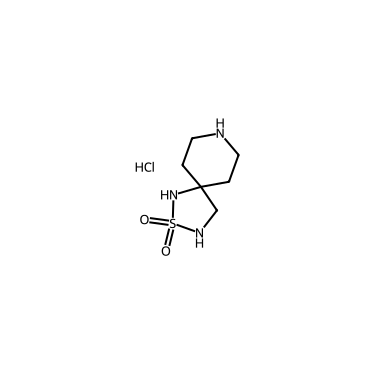 Cl.O=S1(=O)NCC2(CCNCC2)N1